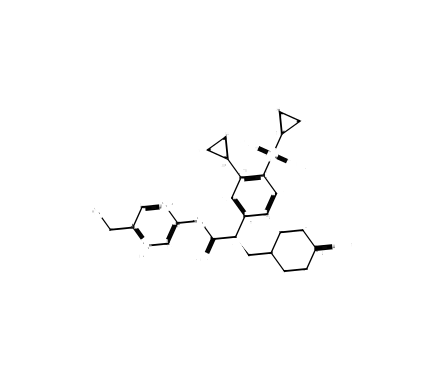 O=NCc1cnc(NC(=O)[C@H](CC2CCC(=O)CC2)c2ccc(S(=O)(=O)C3CC3)c(C3CC3)c2)cn1